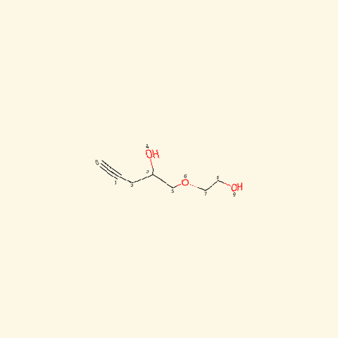 C#CCC(O)COCCO